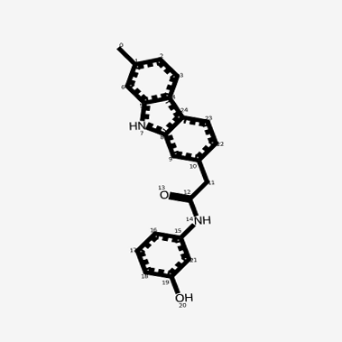 Cc1ccc2c(c1)[nH]c1cc(CC(=O)Nc3cccc(O)c3)ccc12